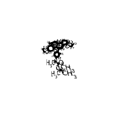 CN(C(=O)OC(C)(C)C)c1ccc(C2=C[C@@]3(C)[C@@H](CCC34OCCO4)[C@@H]3C[C@@H]4C[C@@]45CC4(CC[C@]5(C)[C@@H]23)OCCO4)cc1